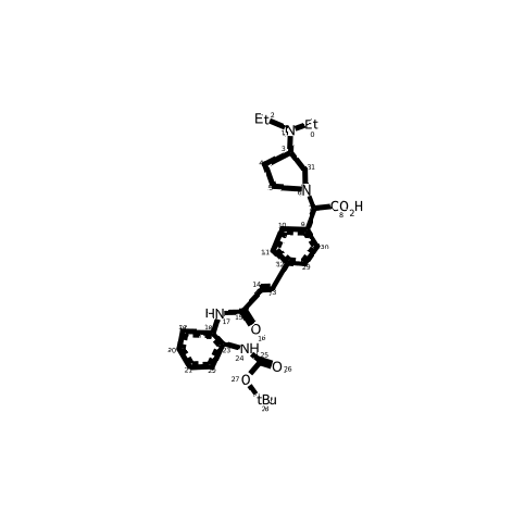 CCN(CC)C1CCN(C(C(=O)O)c2ccc(C=CC(=O)Nc3ccccc3NC(=O)OC(C)(C)C)cc2)C1